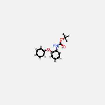 CC(C)(C)OC(=O)Nc1ccccc1Oc1ccccc1